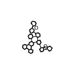 c1ccc2c(c1)-c1cc3c4ccccc4c4ccccc4c3cc1-c1cc(-c3cccc4c3oc3ccccc34)ccc1-c1cccc(-c3cccc4c3oc3ccccc34)c1-2